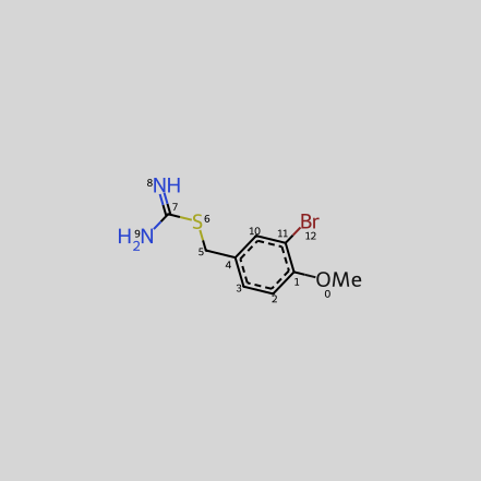 COc1ccc(CSC(=N)N)cc1Br